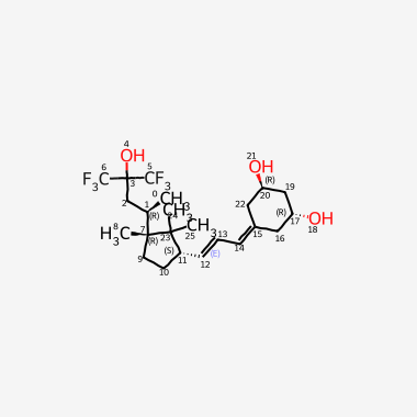 C[C@H](CC(O)(C(F)(F)F)C(F)(F)F)[C@@]1(C)CC[C@@H](/C=C/C=C2C[C@@H](O)C[C@H](O)C2)C1(C)C